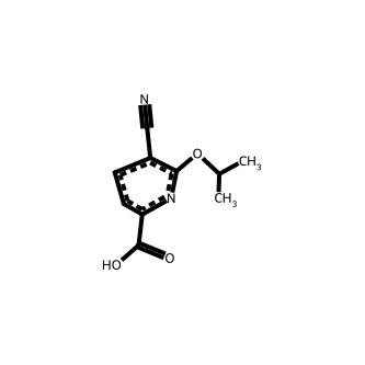 CC(C)Oc1nc(C(=O)O)ccc1C#N